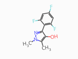 Cc1c(O)c(-c2c(F)cc(F)cc2F)nn1C